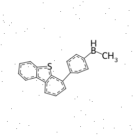 CBc1ccc(-c2cccc3c2sc2ccccc23)cc1